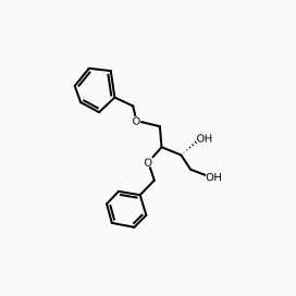 OC[C@@H](O)C(COCc1ccccc1)OCc1ccccc1